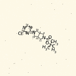 CC(C)(C)OC(=O)N1CC2CN(c3ncnc(Cl)n3)CC2C1